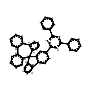 c1ccc(-c2nc(-c3ccccc3)nc(-c3ccc4c(c3)C3(c5ccccc5-c5ccccc5-c5ccccc53)c3ccccc3-4)n2)cc1